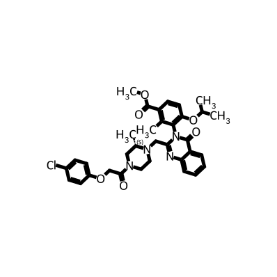 COC(=O)c1ccc(OC(C)C)c(-n2c(CN3CCN(C(=O)COc4ccc(Cl)cc4)C[C@@H]3C)nc3ccccc3c2=O)c1C